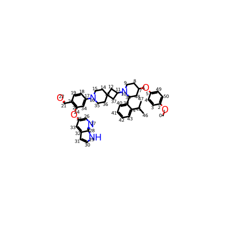 COc1ccc(OC2CCN(C3CC4(CCN(c5ccc(C=O)c(Oc6cnc7[nH]ccc7c6)c5)CC4)C3)C(c3ccccc3C(C)C)C2)cc1